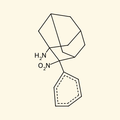 NC12CC3CC(CC(C3)C1(c1ccccc1)[N+](=O)[O-])C2